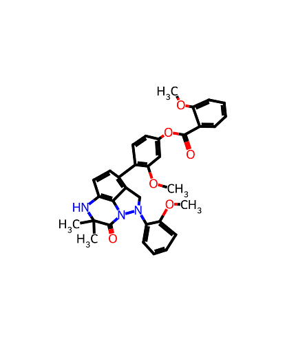 COc1ccccc1C(=O)Oc1ccc(-c2ccc3c4c2CN(c2ccccc2OC)N4C(=O)C(C)(C)N3)c(OC)c1